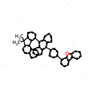 CC1(C)c2cccc(-c3c4ccccc4c(-c4ccc(-c5cccc6c5oc5ccccc56)cc4)c4ccccc34)c2-c2c1ccc1ccccc21